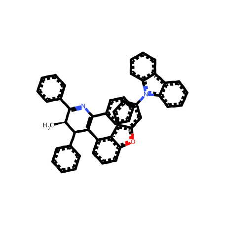 C[C@H]1C(c2ccccc2)=NC(c2ccccc2)=C(c2cccc3oc4cc(-n5c6ccccc6c6ccccc65)ccc4c23)C1c1ccccc1